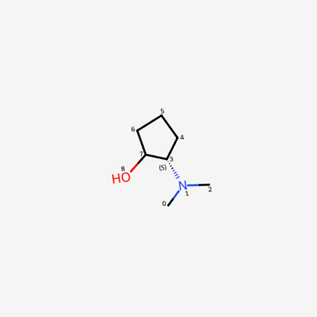 CN(C)[C@H]1CCCC1O